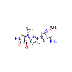 CO/N=C1/CN(c2nc3c(cc2F)c(=O)c2c(=O)[nH]sc2n3C2CC2)CC1CN